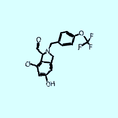 O=CC1c2c(Cl)cc(O)cc2CN1Cc1ccc(OC(F)(F)F)cc1